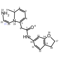 CC1C=CC=C(CC(=O)Nc2ccc3c(c2)OCC3)N1/C=C\N